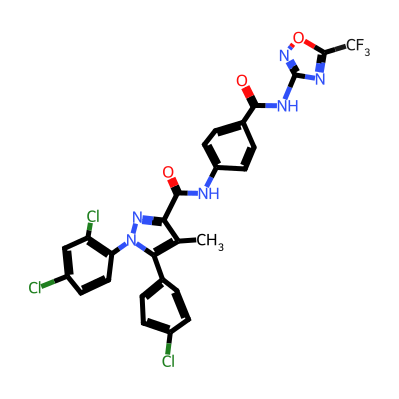 Cc1c(C(=O)Nc2ccc(C(=O)Nc3noc(C(F)(F)F)n3)cc2)nn(-c2ccc(Cl)cc2Cl)c1-c1ccc(Cl)cc1